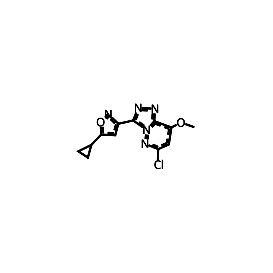 COc1cc(Cl)nn2c(-c3cc(C4CC4)on3)nnc12